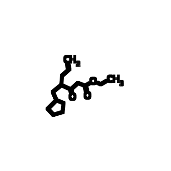 C=CCC(CC1CCCC1)C(=O)CC(=O)OCC